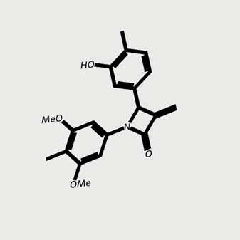 C=C1C(=O)N(c2cc(OC)c(C)c(OC)c2)C1c1ccc(C)c(O)c1